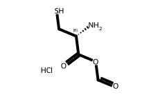 Cl.N[C@@H](CS)C(=O)OC=O